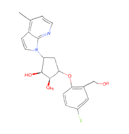 Cc1ccnc2c1ccn2C1CC(Oc2ccc(F)cc2CO)[C@@H](O)[C@H]1O